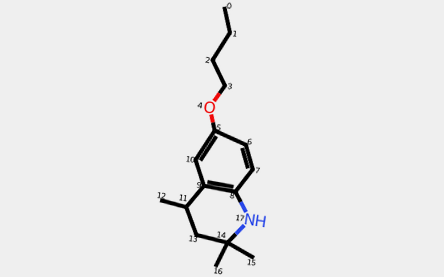 CCCCOc1ccc2c(c1)C(C)CC(C)(C)N2